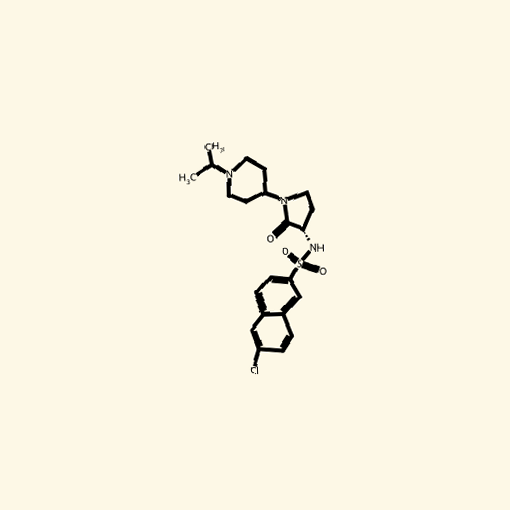 CC(C)N1CCC(N2CC[C@H](NS(=O)(=O)c3ccc4cc(Cl)ccc4c3)C2=O)CC1